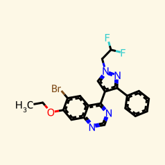 CCOc1cc2ncnc(-c3cn(CC(F)F)nc3-c3ccccc3)c2cc1Br